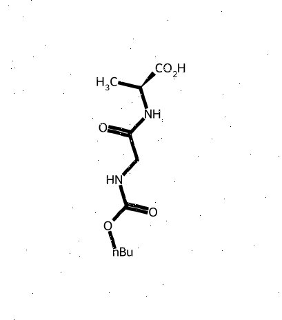 CCCCOC(=O)NCC(=O)N[C@@H](C)C(=O)O